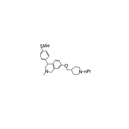 CCCN1CCC(COc2ccc3c(c2)CN(C)CC3c2ccc(SC)cc2)CC1